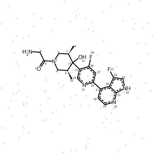 C[C@@H]1CN(C(=O)CN)C[C@H](C)C1(O)c1cnc(-c2ccnc3[nH]cc(F)c23)cc1F